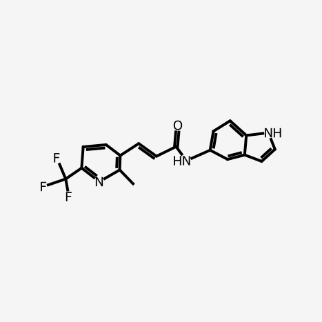 Cc1nc(C(F)(F)F)ccc1C=CC(=O)Nc1ccc2[nH]ccc2c1